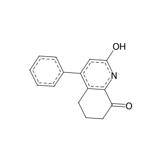 O=C1CCCc2c(-c3ccccc3)cc(O)nc21